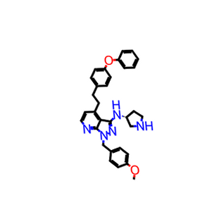 COc1ccc(Cn2nc(N[C@@H]3CCNC3)c3c(CCc4ccc(Oc5ccccc5)cc4)ccnc32)cc1